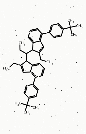 CCC1=Cc2c(-c3ccc(C(C)(C)C)cc3)cccc2C1C(CC)C1C(CC)=Cc2c(-c3ccc(C(C)(C)C)cc3)cccc21